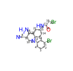 Brc1ccccc1.N#Cc1cnc2ccc(NC(=O)CBr)cc2c1N